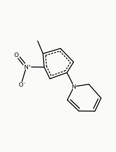 Cc1ccc(N2C=CC=CC2)cc1[N+](=O)[O-]